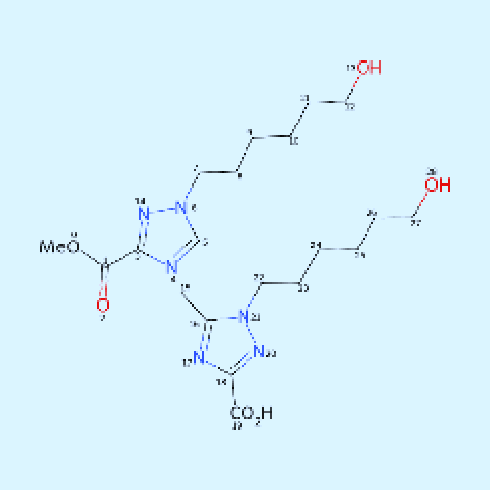 COC(=O)c1ncn(CCCCCCO)n1.Cc1nc(C(=O)O)nn1CCCCCCO